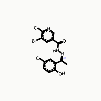 C/C(=N/NC(=O)c1cnc(Cl)c(Br)c1)c1cc(Cl)ccc1O